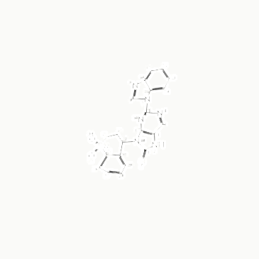 O=c1[nH]c2cnc(-n3cnc4ccccc43)nc2n1C1CCS(=O)(=O)c2ccccc21